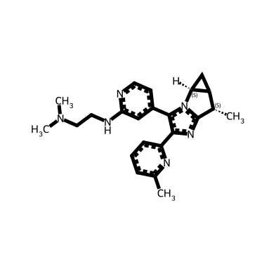 Cc1cccc(-c2nc3n(c2-c2ccnc(NCCN(C)C)c2)[C@H]2CC2[C@@H]3C)n1